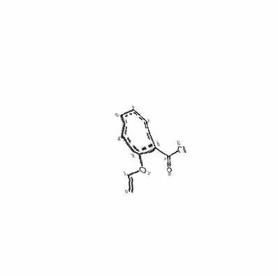 C=COc1ccccc1C(=O)Cl